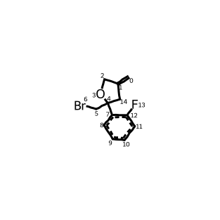 C=C1COC(CBr)(c2ccccc2F)C1